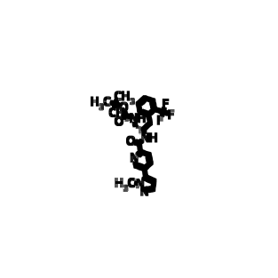 Cn1nccc1-c1ccc(C(=O)N[C@H](CNC(=O)OC(C)(C)C)Cc2ccccc2C(F)(F)F)nc1